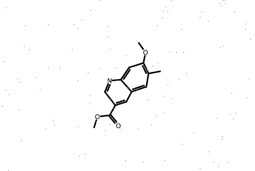 COC(=O)c1cnc2cc(OC)c(C)cc2c1